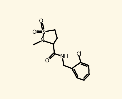 CN1C(C(=O)NCc2ccccc2Cl)CCS1(=O)=O